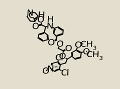 COc1ccc(C(Cc2c(Cl)c[n+]([O-])cc2Cl)OC(=O)COC(=O)c2cccc(NC(C(=O)O[C@H]3CN4CCC3CC4)c3ccccc3)c2)cc1OC